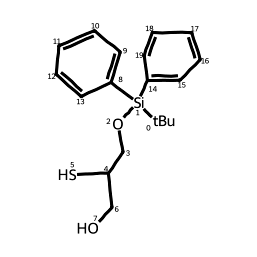 CC(C)(C)[Si](OCC(S)CO)(c1ccccc1)c1ccccc1